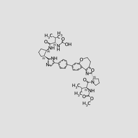 COC(=O)N[C@H](C(=O)N1CCC[C@H]1c1nc2c(o1)CCOc1cc(-c3ccc(-c4cnc([C@H]5CCC[C@H]5NC(=O)[C@@H](NC(=O)O)C(C)C)[nH]4)cc3)ccc1-2)C(C)C